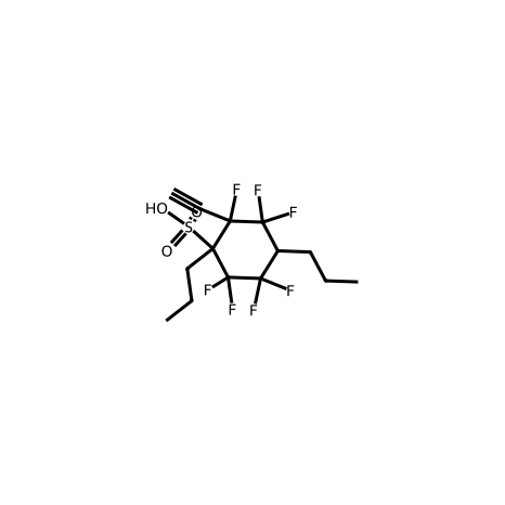 C#CC1(F)C(F)(F)C(CCC)C(F)(F)C(F)(F)C1(CCC)S(=O)(=O)O